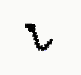 CCCCC/C=C\C/C=C\CCCCCCCCOS(=O)(=O)O